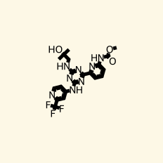 COC(=O)Nc1cccc(-c2nc(NCC(C)(C)O)nc(Nc3ccnc(C(F)(F)F)c3)n2)n1